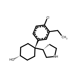 CCc1cc([C@]2([C@@H]3CCNC3)CC[C@@H](O)CC2)ccc1Cl